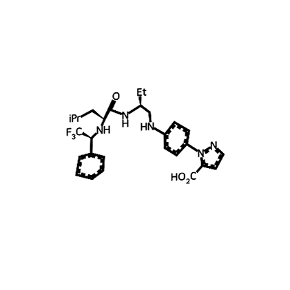 CC[C@@H](CNc1ccc(-n2nccc2C(=O)O)cc1)NC(=O)[C@H](CC(C)C)N[C@@H](c1ccccc1)C(F)(F)F